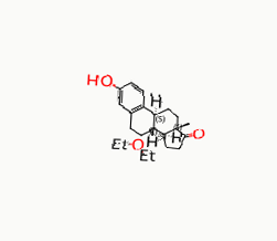 CCOCC.C[C@]12CC[C@@H]3c4ccc(O)cc4CC[C@H]3[C@@H]1CCC2=O